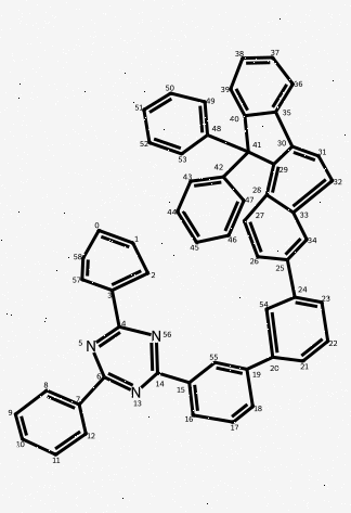 c1ccc(-c2nc(-c3ccccc3)nc(-c3cccc(-c4cccc(-c5ccc6c7c(ccc6c5)-c5ccccc5C7(c5ccccc5)c5ccccc5)c4)c3)n2)cc1